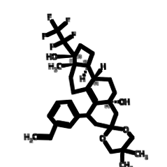 C=Cc1cccc(C2CC3(C[C@]4(O)CC[C@@H]5C(=C24)CC[C@@]2(C)[C@H]5CC[C@@]2(O)C(F)(F)C(F)(F)F)OCC(C)(C)CO3)c1